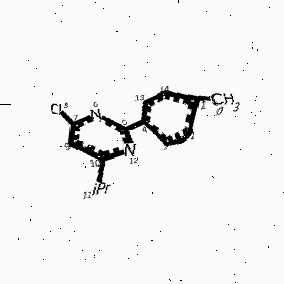 Cc1ccc(-c2nc(Cl)cc(C(C)C)n2)cc1